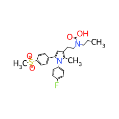 CCCN(CCc1cc(-c2ccc(S(C)(=O)=O)cc2)n(-c2ccc(F)cc2)c1C)C(=O)O